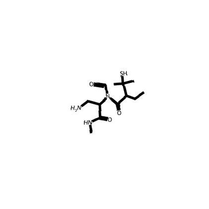 CCC(C(=O)N(C=O)C(CN)C(=O)NC)C(C)(C)S